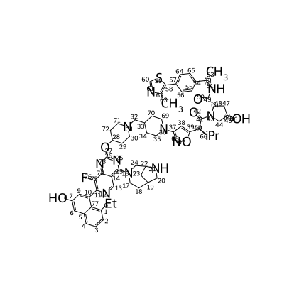 CCc1cccc2cc(O)cc(-c3ncc4c(N5CCC6CNC(C6)C5)nc(OC5CCN(CC6CCN(c7cc([C@@H](C(=O)N8C[C@H](O)C[C@H]8C(=O)N[C@@H](C)c8ccc(-c9scnc9C)cc8)C(C)C)on7)CC6)CC5)nc4c3F)c12